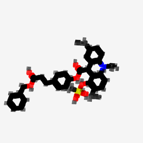 COc1ccc2c(c1)C(C(=O)Oc1ccc(CCC(=O)OCc3ccccc3)cc1)c1c(ccc(OC)c1OS(=O)(=O)C(F)(F)F)N2C